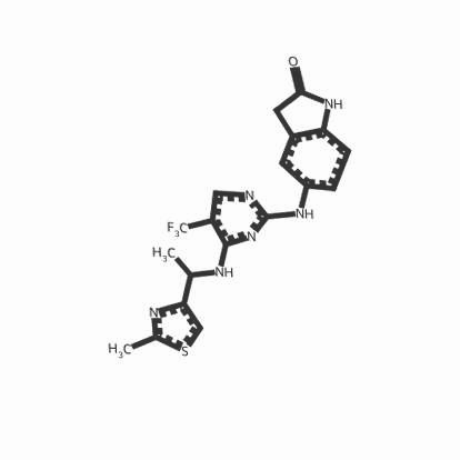 Cc1nc(C(C)Nc2nc(Nc3ccc4c(c3)CC(=O)N4)ncc2C(F)(F)F)cs1